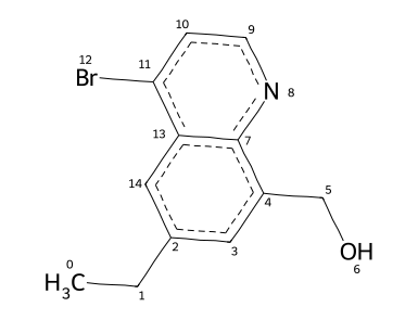 CCc1cc(CO)c2nccc(Br)c2c1